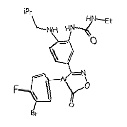 CCNC(=O)Nc1cc(-c2noc(=O)n2-c2ccc(F)c(Br)c2)ccc1NCC(C)C